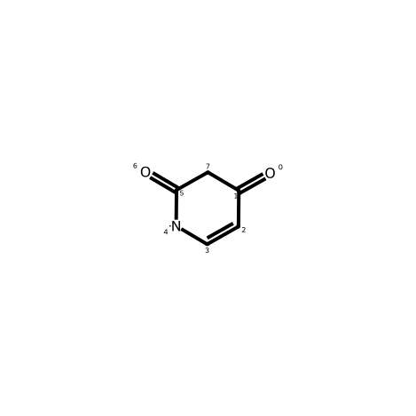 O=C1C=C[N]C(=O)C1